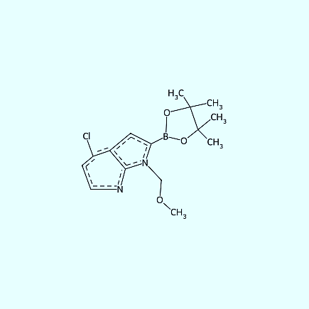 COCn1c(B2OC(C)(C)C(C)(C)O2)cc2c(Cl)ccnc21